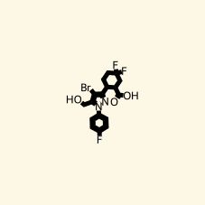 O=C(O)C1CC(F)(F)CCC1c1nn(-c2ccc(F)cc2)c(CO)c1Br